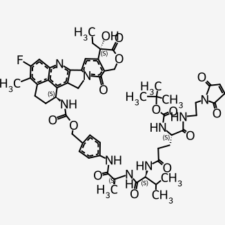 CC[C@@]1(O)C(=O)OCc2c1cc1n(c2=O)Cc2c-1nc1cc(F)c(C)c3c1c2[C@@H](NC(=O)OCc1ccc(NC(=O)[C@H](C)NC(=O)[C@@H](NC(=O)CC[C@H](NC(=O)OC(C)(C)C)C(=O)NCCN2C(=O)C=CC2=O)C(C)C)cc1)CC3